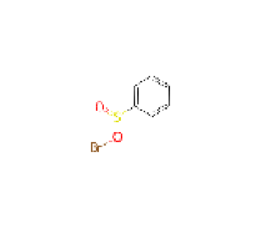 O=S(OBr)c1ccccc1